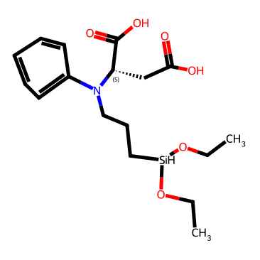 CCO[SiH](CCCN(c1ccccc1)[C@@H](CC(=O)O)C(=O)O)OCC